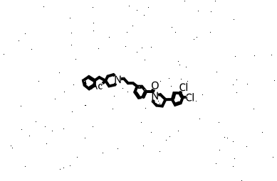 CC(=O)C1(Cc2ccccc2)CCN(CCCc2cccc(C(=O)N3CCCC(c4ccc(Cl)c(Cl)c4)C3)c2)CC1